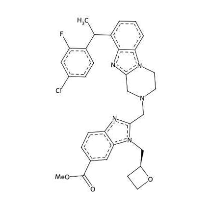 COC(=O)c1ccc2nc(CN3CCn4c(nc5c(C(C)c6ccc(Cl)cc6F)cccc54)C3)n(C[C@@H]3CCO3)c2c1